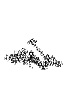 CC[C@H](C)[C@@H]([C@@H](CC(=O)N1CCC[C@H]1[C@H](OC)[C@@H](C)C(=O)N[C@@H](Cc1ccccc1)C(=O)NS(=O)(=O)c1ccc(C2(NC(=O)[C@H](CCCNC(N)O)NC(=O)[C@@H](NC(=O)CCOCCOCCOCCN3C(=O)C=CC3=O)C(C)C)CC2)cc1)OC)N(C)C(=O)[C@@H](NC(=O)[C@H](C(C)C)N(C)C)C(C)C